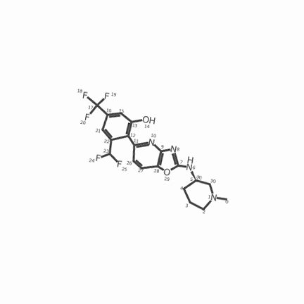 CN1CCC[C@@H](Nc2nc3nc(-c4c(O)cc(C(F)(F)F)cc4C(F)F)ccc3o2)C1